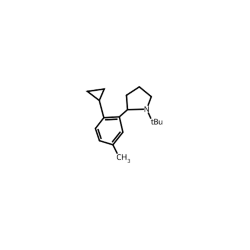 Cc1ccc(C2CC2)c(C2CCCN2C(C)(C)C)c1